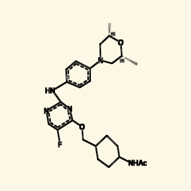 CC(=O)NC1CCC(COc2nc(Nc3ccc(N4C[C@@H](C)O[C@@H](C)C4)cc3)ncc2F)CC1